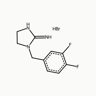 Br.N=C1NCCN1Cc1ccc(F)c(F)c1